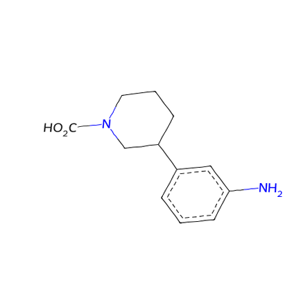 Nc1cccc(C2CCCN(C(=O)O)C2)c1